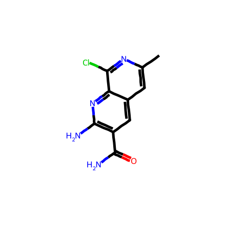 Cc1cc2cc(C(N)=O)c(N)nc2c(Cl)n1